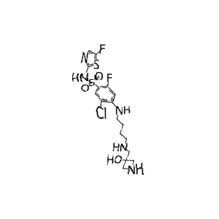 O=S(=O)(Nc1ncc(F)s1)c1cc(Cl)c(NCCCCNCC2(O)CNC2)cc1F